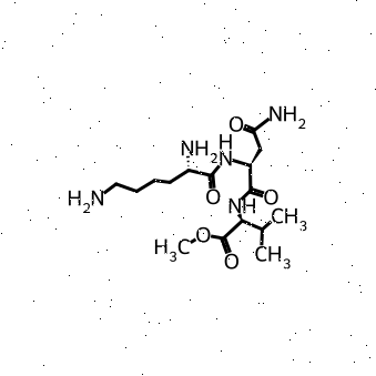 COC(=O)[C@@H](NC(=O)[C@H](CC(N)=O)NC(=O)[C@@H](N)CCCCN)C(C)C